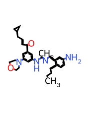 CCC\C=c1/ccc(N)c/c1=C/N=C(\C)Nc1cc(C(=O)/C=C/CC2CC2)cc(N2CCOCC2)c1